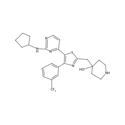 OC1(Cc2nc(-c3cccc(C(F)(F)F)c3)c(-c3ccnc(NC4CCCC4)n3)s2)CCNCC1